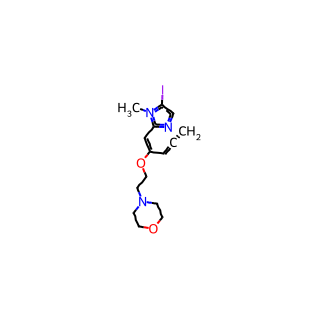 C=C=C/C(=C\c1ncc(I)n1C)OCCN1CCOCC1